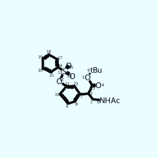 CC(=O)NCC(C(=O)OC(C)(C)C)c1cccc(OS(=O)(=O)c2ccccc2)c1